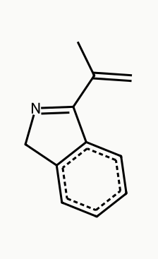 C=C(C)C1=NCc2ccccc21